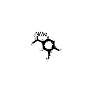 CNC(C)c1ccc(C)c(F)c1